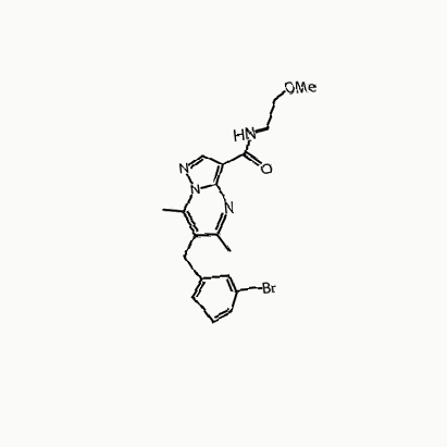 COCCNC(=O)c1cnn2c(C)c(Cc3cccc(Br)c3)c(C)nc12